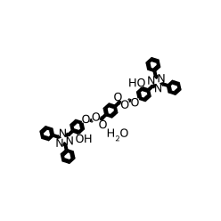 O.O=C(OCOc1ccc(-c2nc(-c3ccccc3)nc(-c3ccccc3)n2)c(O)c1)c1ccc(C(=O)OCOc2ccc(-c3nc(-c4ccccc4)nc(-c4ccccc4)n3)c(O)c2)cc1